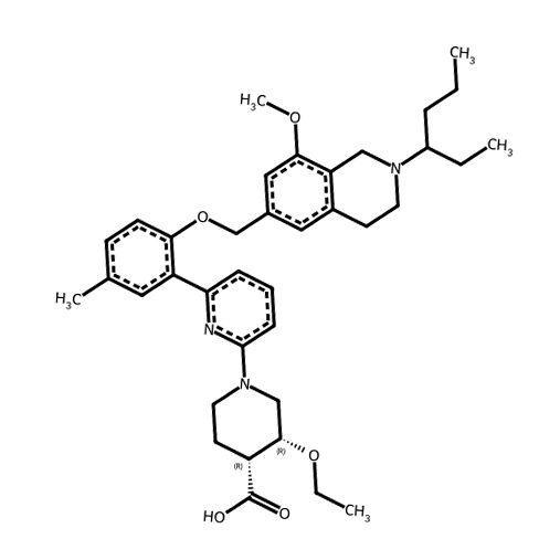 CCCC(CC)N1CCc2cc(COc3ccc(C)cc3-c3cccc(N4CC[C@@H](C(=O)O)[C@@H](OCC)C4)n3)cc(OC)c2C1